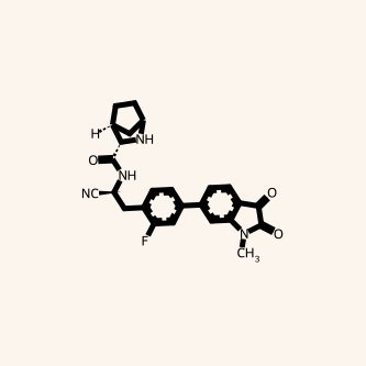 CN1C(=O)C(=O)c2ccc(-c3ccc(C[C@@H](C#N)NC(=O)[C@H]4NC5CC[C@H]4C5)c(F)c3)cc21